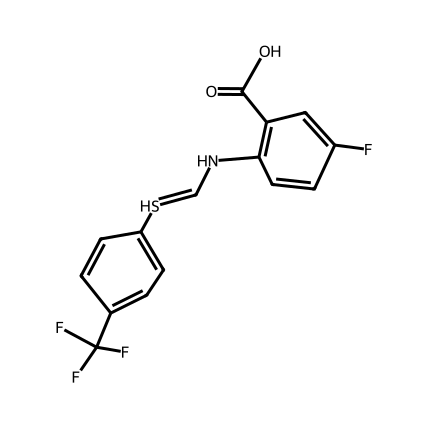 O=C(O)c1cc(F)ccc1NC=[SH]c1ccc(C(F)(F)F)cc1